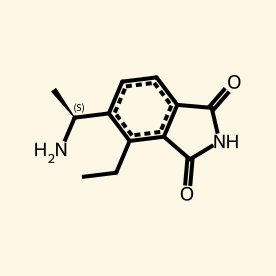 CCc1c([C@H](C)N)ccc2c1C(=O)NC2=O